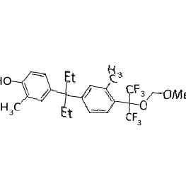 CCC(CC)(c1ccc(O)c(C)c1)c1ccc(C(OCOC)(C(F)(F)F)C(F)(F)F)c(C)c1